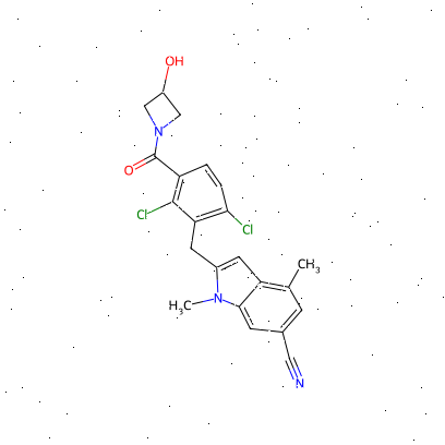 Cc1cc(C#N)cc2c1cc(Cc1c(Cl)ccc(C(=O)N3CC(O)C3)c1Cl)n2C